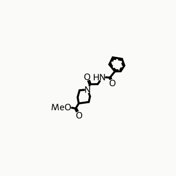 COC(=O)C1CCN(C(=O)CNC(=O)c2ccccc2)CC1